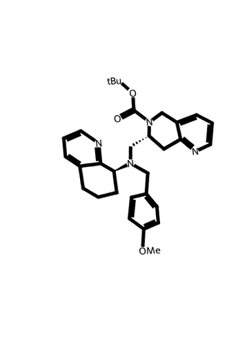 COc1ccc(CN(C[C@H]2Cc3ncccc3CN2C(=O)OC(C)(C)C)[C@H]2CCCc3cccnc32)cc1